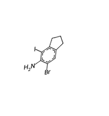 Nc1c(Br)cc2c(c1I)CCC2